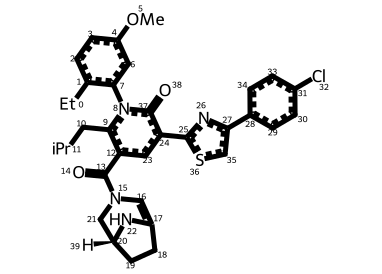 CCc1ccc(OC)cc1-n1c(CC(C)C)c(C(=O)N2C=C3CC[C@H](C2)N3)cc(-c2nc(-c3ccc(Cl)cc3)cs2)c1=O